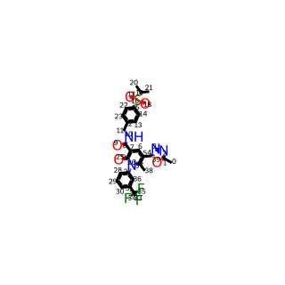 Cc1nnc(-c2cc(C(=O)NCc3ccc(S(=O)(=O)C(C)C)cc3)c(=O)n(-c3cccc(C(F)(F)F)c3)c2C)o1